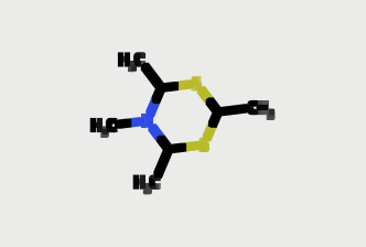 CC1SC(C)N(C)C(C)S1